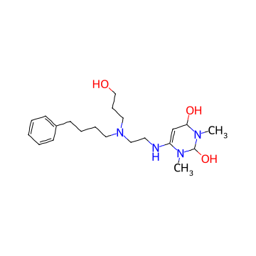 CN1C(NCCN(CCCO)CCCCc2ccccc2)=CC(O)N(C)C1O